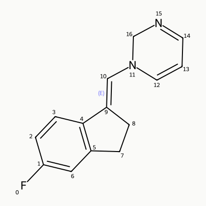 Fc1ccc2c(c1)CC/C2=C\N1C=CC=NC1